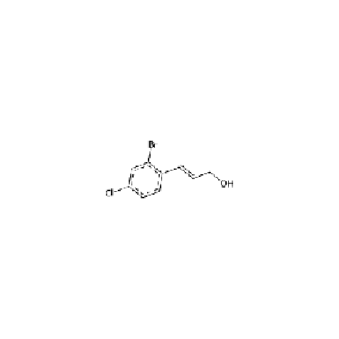 OCC=Cc1ccc(Cl)cc1Br